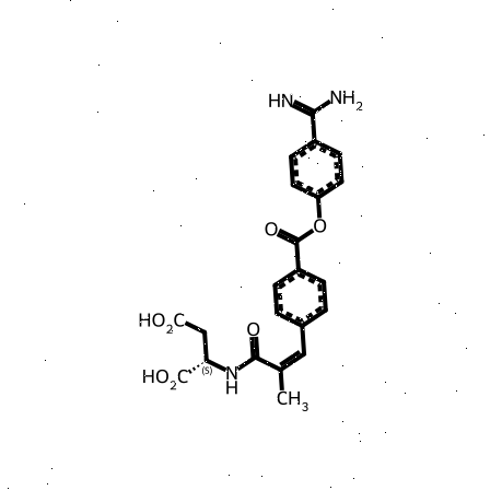 CC(=Cc1ccc(C(=O)Oc2ccc(C(=N)N)cc2)cc1)C(=O)N[C@@H](CC(=O)O)C(=O)O